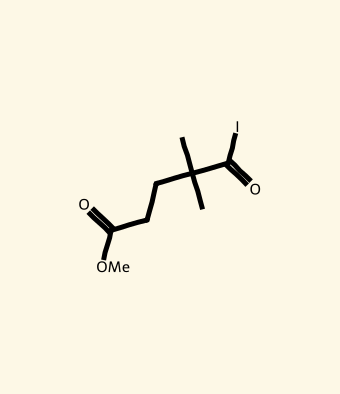 COC(=O)CCC(C)(C)C(=O)I